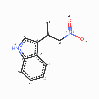 CC(C[N+](=O)[O-])c1c[nH]c2ccccc12